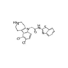 O=C(Cn1c2c(c3c(Cl)c(Cl)ccc31)CCNCC2)Nc1nc2ccccc2s1